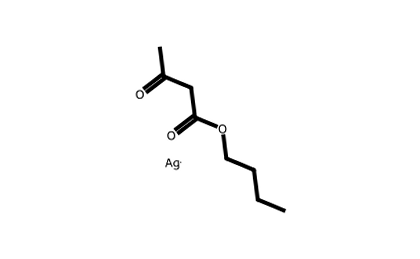 CCCCOC(=O)CC(C)=O.[Ag]